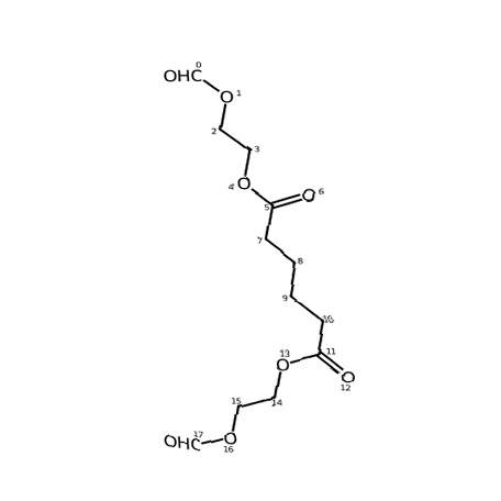 O=COCCOC(=O)CCCCC(=O)OCCOC=O